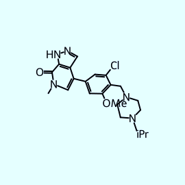 COc1cc(-c2cn(C)c(=O)c3[nH]ncc23)cc(Cl)c1CN1CCN(C(C)C)CC1